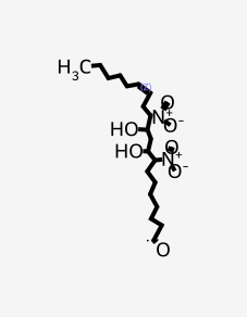 CCCCC/C=C\CC(C(O)CC(O)C(CCCCCC[C]=O)[N+](=O)[O-])[N+](=O)[O-]